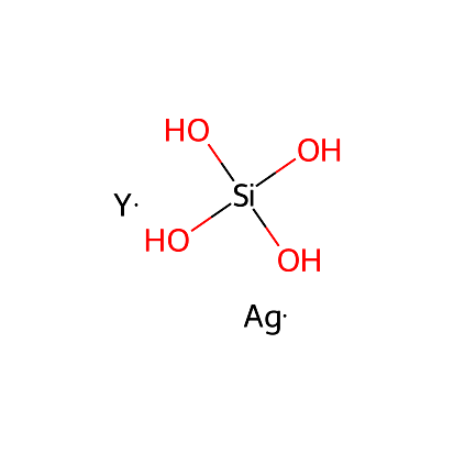 O[Si](O)(O)O.[Ag].[Y]